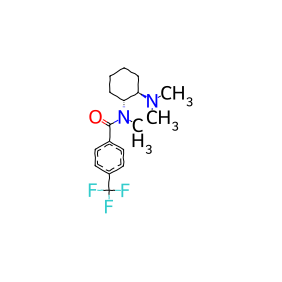 CN(C)[C@@H]1CCCC[C@H]1N(C)C(=O)c1ccc(C(F)(F)F)cc1